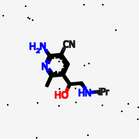 Cc1nc(N)c(C#N)cc1C(O)CNC(C)C